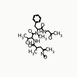 C=C(CC(C)C(=O)NC(C(=O)N(C)C(Cc1ccccc1)C(=O)NCC(C)=O)C(C)C)N=O